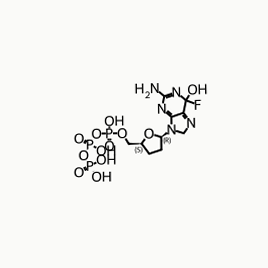 NC1=NC(O)(F)C2=NCN([C@H]3CC[C@@H](COP(=O)(O)OP(=O)(O)OP(=O)(O)O)O3)C2=N1